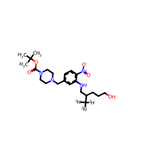 [2H]C([2H])([2H])C(CCCO)CNc1cc(CN2CCN(C(=O)OC(C)(C)C)CC2)ccc1[N+](=O)[O-]